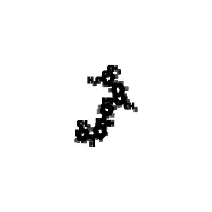 Cc1cc(Nc2ccc3[nH]c(-c4ccc(Nc5cc(C)nc6ccc(N7CC(C)OC(C)C7)cc56)cc4)nc3c2)ccn1